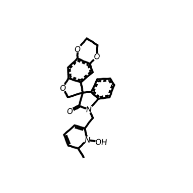 CC1C=CC=C(CN2C(=O)C3(COc4cc5c(cc43)OCCO5)c3ccccc32)N1O